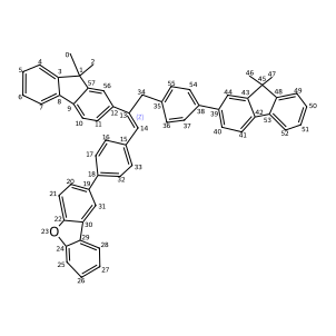 CC1(C)c2ccccc2-c2ccc(/C(=C\c3ccc(-c4ccc5oc6ccccc6c5c4)cc3)Cc3ccc(-c4ccc5c(c4)C(C)(C)c4ccccc4-5)cc3)cc21